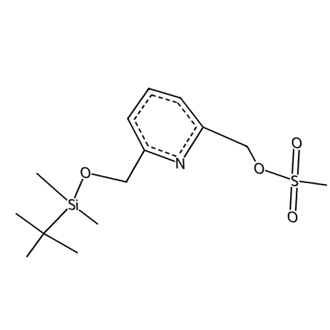 CC(C)(C)[Si](C)(C)OCc1cccc(COS(C)(=O)=O)n1